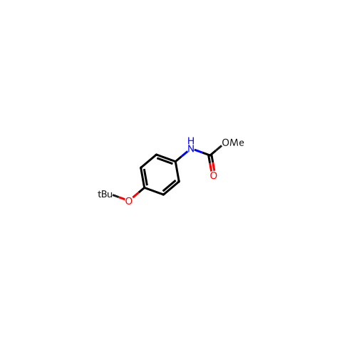 COC(=O)Nc1ccc(OC(C)(C)C)cc1